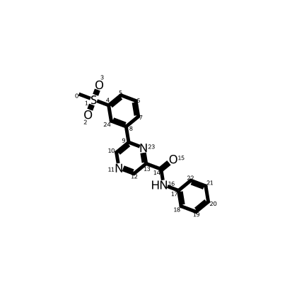 CS(=O)(=O)c1cccc(-c2cncc(C(=O)Nc3ccccc3)n2)c1